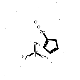 C[NH+](C)C.[Cl-].[Cl-].[Zr+][C]1=CC=CC1